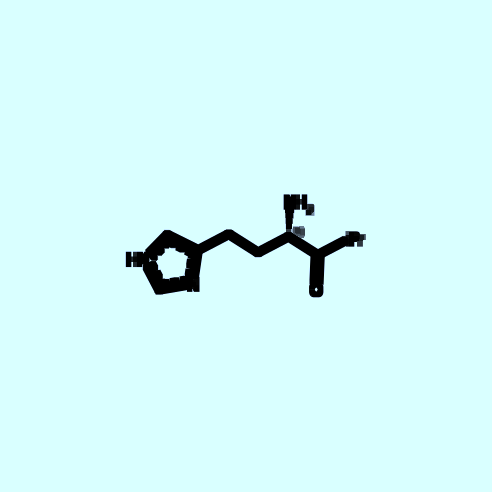 CC(C)C(=O)[C@@H](N)CCc1c[nH]cn1